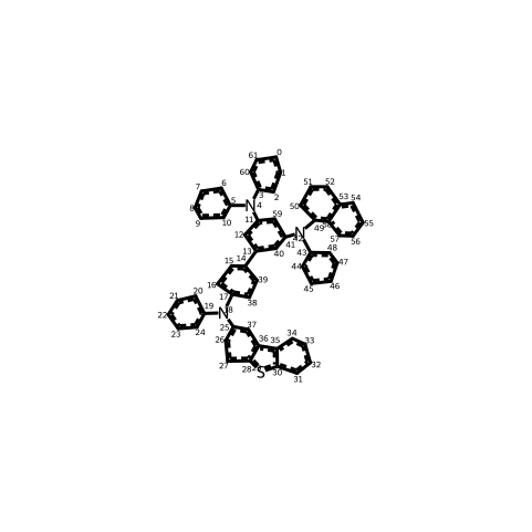 c1ccc(N(c2ccccc2)c2cc(-c3ccc(N(c4ccccc4)c4ccc5sc6ccccc6c5c4)cc3)cc(N(c3ccccc3)c3cccc4ccccc34)c2)cc1